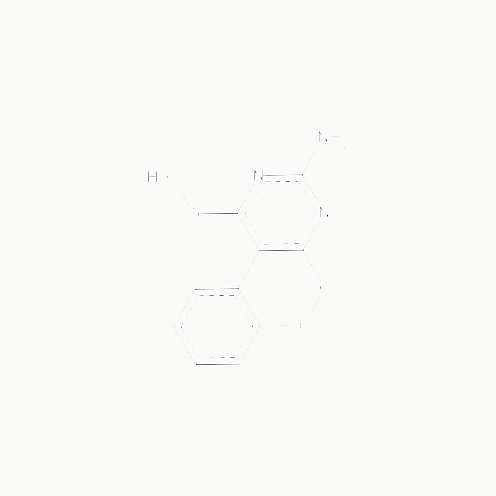 COc1nc(N)nc(OC)c1-c1ccccc1